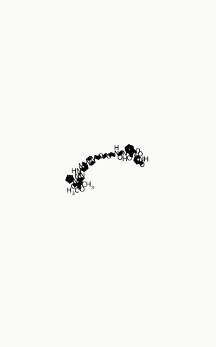 CC(=O)c1c(C)c2cnc(Nc3ccc(N4CCN(CCOCCOCCNC(=O)CNc5cccc6c5C(=O)N(C5CCC(=O)NC5=O)C6=O)CC4)cn3)nc2n(C2CCCC2)c1=O